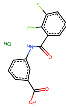 Cl.O=C(O)c1cccc(NC(=O)c2cccc(F)c2F)c1